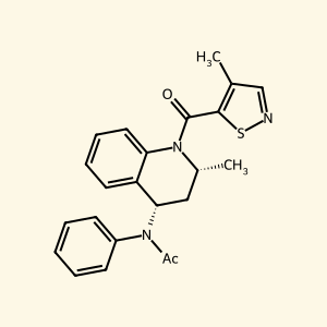 CC(=O)N(c1ccccc1)[C@H]1C[C@@H](C)N(C(=O)c2sncc2C)c2ccccc21